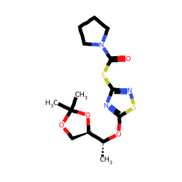 C[C@@H](Oc1nc(SC(=O)N2CCCC2)ns1)[C@H]1COC(C)(C)O1